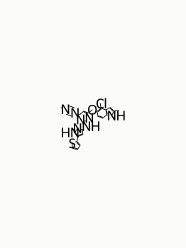 Cc1cc2c(Cl)c(Oc3cc(N4CCN(C)CC4)nc(Nc4cc(-c5cccs5)[nH]n4)n3)ccc2[nH]1